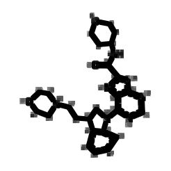 O=C(NC1CCOCC1)c1nc2c(N3CC(CCN4CCOCC4)c4ccccc43)ncnc2s1